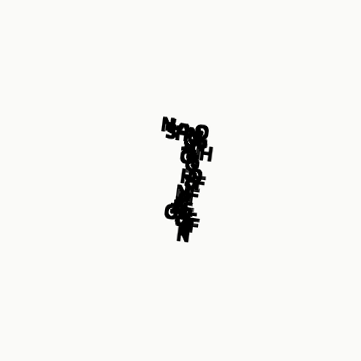 Cc1ncsc1-c1ccc(CNC(=O)C2CCCN2C(=O)C(NC(=O)COCCOc2c(F)cc(-c3ncc(N4C(=S)N(c5ccc(C#N)c(C(F)(F)F)c5F)C(=O)C4(C)C)cc3F)cc2F)C(C)(C)C)cc1